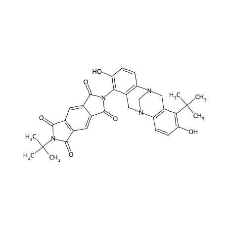 CC(C)(C)c1c(O)ccc2c1CN1CN2Cc2c1ccc(O)c2-n1c(=O)c2cc3c(=O)n(C(C)(C)C)c(=O)c3cc2c1=O